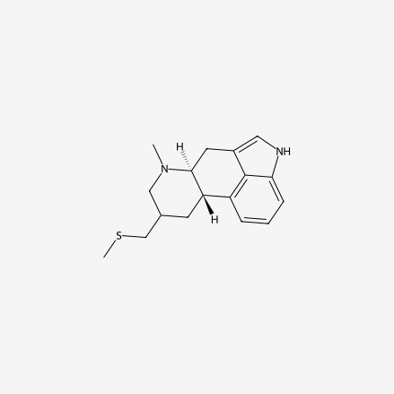 CSCC1C[C@H]2c3cccc4[nH]cc(c34)C[C@@H]2N(C)C1